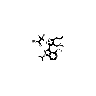 CCCc1onc(-c2nn(C(C)C)c3ccnc(N)c23)c1COC.O=C(O)C(F)(F)F